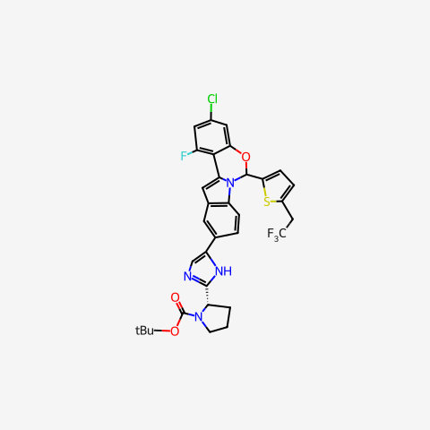 CC(C)(C)OC(=O)N1CCC[C@H]1c1ncc(-c2ccc3c(c2)cc2n3C(c3ccc(CC(F)(F)F)s3)Oc3cc(Cl)cc(F)c3-2)[nH]1